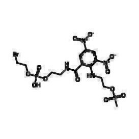 CS(=O)(=O)OCCNc1c(C(=O)NCCOP(=O)(O)OCCBr)cc([N+](=O)[O-])cc1[N+](=O)[O-]